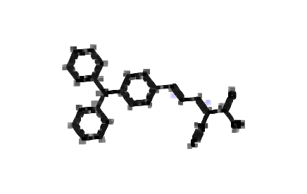 [C-]#[N+]/C(=C\C=C\c1ccc(N(c2ccccc2)c2ccccc2)cc1)C(=O)O